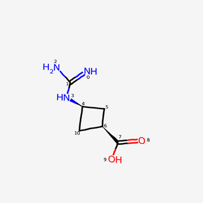 N=C(N)N[C@H]1C[C@@H](C(=O)O)C1